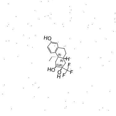 CC[C@@]12C[C@H](O)[C@@](O)(C(F)(F)F)C[C@H]1CCc1cc(O)ccc12